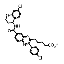 O=C(O)CCCCc1nc2cc(C(=O)NC3CCOc4cc(Cl)ccc43)ccc2nc1-c1ccc(Cl)cc1